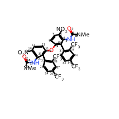 CNC(=O)Nc1c([N+](=O)[O-])ccc(Oc2ccc([N+](=O)[O-])c(NC(=O)NC)c2-c2ccc(C(F)(F)F)cc2C(F)(F)F)c1-c1ccc(C(F)(F)F)cc1C(F)(F)F